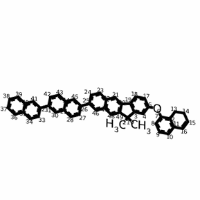 CC1(C)c2cc(Oc3cccc4c3CCC=C4)ccc2-c2cc3ccc(-c4ccc5cc(-c6ccc7ccccc7c6)ccc5c4)cc3cc21